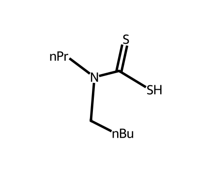 CCCCCN(CCC)C(=S)S